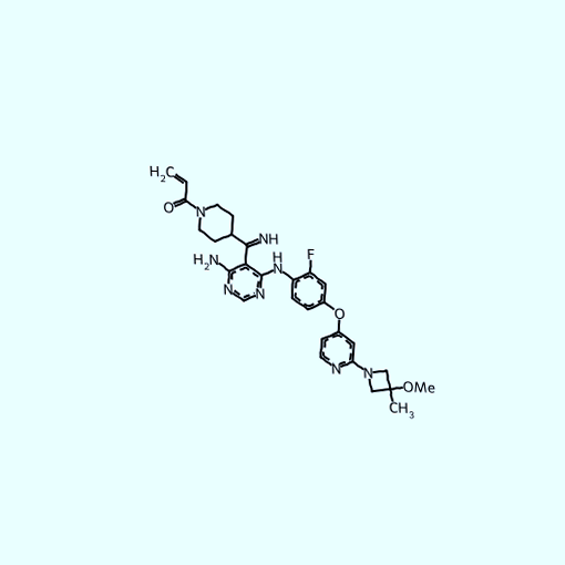 C=CC(=O)N1CCC(C(=N)c2c(N)ncnc2Nc2ccc(Oc3ccnc(N4CC(C)(OC)C4)c3)cc2F)CC1